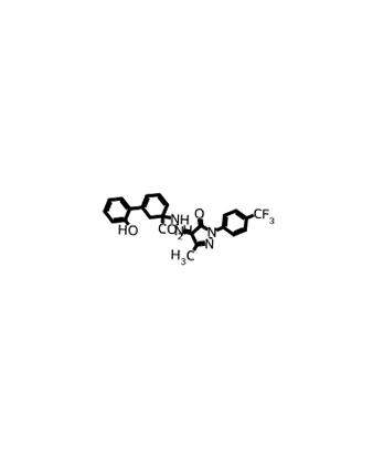 CC1=NN(c2ccc(C(F)(F)F)cc2)C(=O)/C1=N\NC1(C(=O)O)C=CC=C(c2ccccc2O)C1